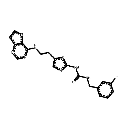 O=C(NCc1cccc(Cl)c1)Nc1ncc(CCNc2ncnc3ccsc23)s1